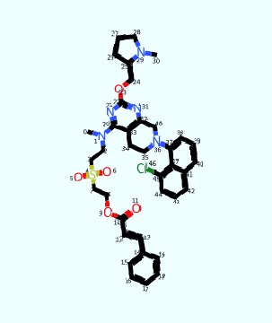 CN(CCS(=O)(=O)CCOC(=O)C=Cc1ccccc1)c1nc(OCC2CCCN2C)nc2c1CCN(c1cccc3cccc(Cl)c13)C2